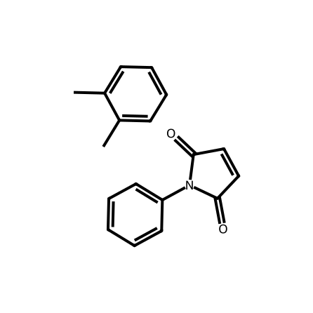 Cc1ccccc1C.O=C1C=CC(=O)N1c1ccccc1